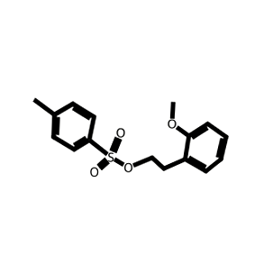 COc1ccccc1CCOS(=O)(=O)c1ccc(C)cc1